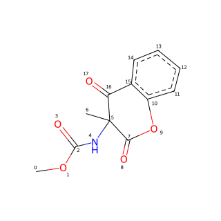 COC(=O)NC1(C)C(=O)Oc2ccccc2C1=O